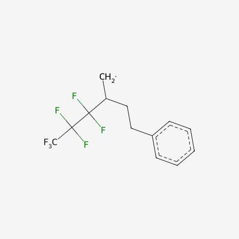 [CH2]C(CCc1ccccc1)C(F)(F)C(F)(F)C(F)(F)F